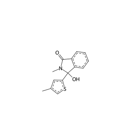 Cc1csc(C2(O)c3ccccc3C(=O)N2C)c1